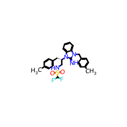 Cc1ccc(C[C@@H](CNS(=O)(=O)C(F)F)n2c(=N)n(Cc3ccc(C)cc3)c3ccccc32)cc1